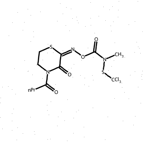 CCCC(=O)N1CCSC(=NOC(=O)N(C)SC(Cl)(Cl)Cl)C1=O